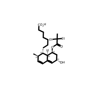 CCC(C)(CC)C(=O)O[C@H]1C[C@H](O)C=C2C=C[C@@H](C)[C@H](CCCCCCC(=O)O)[C@H]21